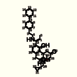 CC=C(NCCc1ccc(-c2ccccc2)cc1)c1ccc2c(c1O)[C@]13CCN(CC4CC4)[C@H](C2)[C@]1(O)CCC(=O)C3